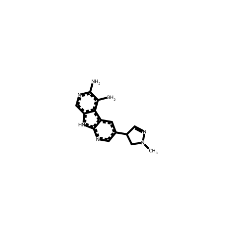 Bc1c(N)ncc2[nH]c3ncc(C4C=NN(C)C4)cc3c12